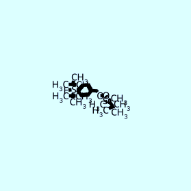 CC(C)(C)[Si](C)(C)OOCc1ccc([Si](F)(C(C)(C)C)C(C)(C)C)cc1